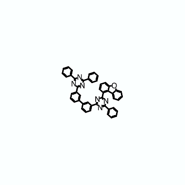 c1ccc(-c2nc(-c3ccccc3)nc(-c3cccc(-c4cccc(-c5nc(-c6ccccc6)nc(-c6cccc7oc8ccccc8c67)n5)c4)c3)n2)cc1